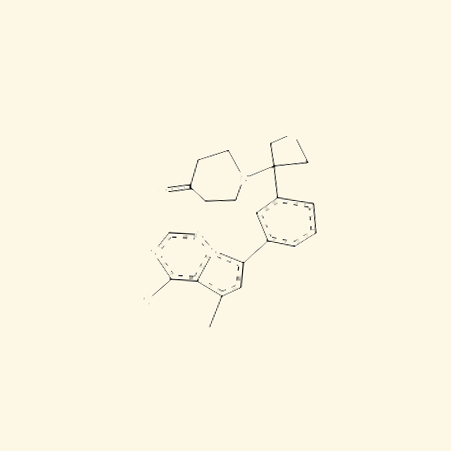 Nc1ncnn2c(-c3cccc(C4(N5CCC(=O)CC5)COC4)c3)cc(O)c12